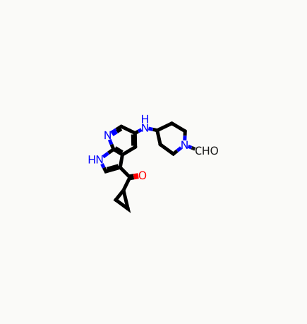 O=CN1CCC(Nc2cnc3[nH]cc(C(=O)C4CC4)c3c2)CC1